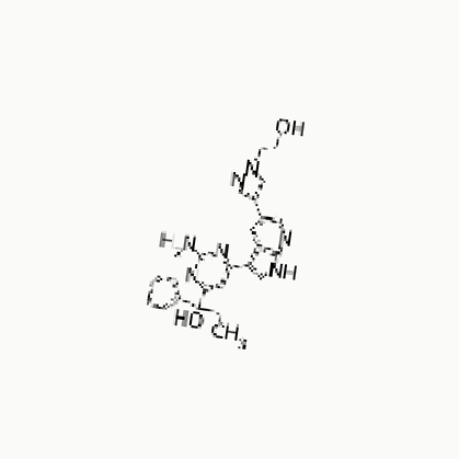 CCC(O)(c1ccccc1)c1cc(-c2c[nH]c3ncc(-c4cnn(CCO)c4)cc23)nc(N)n1